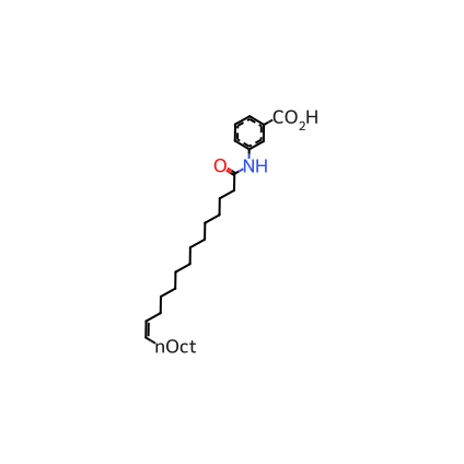 CCCCCCCC/C=C\CCCCCCCCCCCC(=O)Nc1cccc(C(=O)O)c1